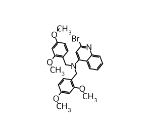 COc1ccc(CN(Cc2ccc(OC)cc2OC)c2cc(Br)nc3ccccc23)c(OC)c1